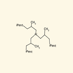 CCCC(C)CC(C)[CH2][Al]([CH2]C(C)CC(C)CCC)[CH2]C(C)CC(C)CCC